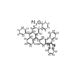 CC1CC=CC=C1c1ccc2c(C3=CCCC=C3)c3ccccc3c(-c3ccc(-n4c(-c5ccccc5)nc5ccccc54)cc3)c2c1